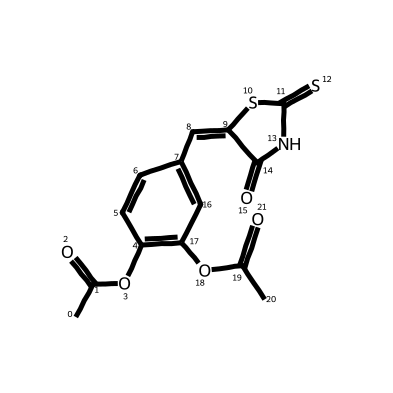 CC(=O)Oc1ccc(C=C2SC(=S)NC2=O)cc1OC(C)=O